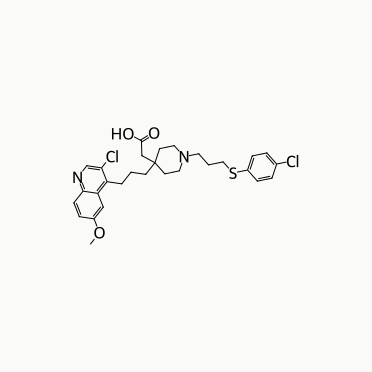 COc1ccc2ncc(Cl)c(CCCC3(CC(=O)O)CCN(CCCSc4ccc(Cl)cc4)CC3)c2c1